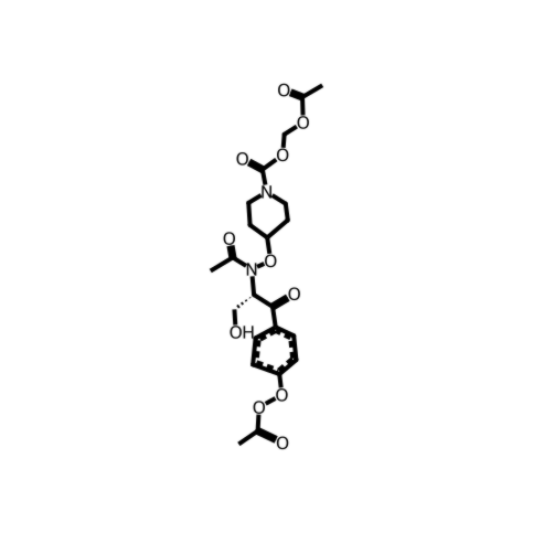 CC(=O)OCOC(=O)N1CCC(ON(C(C)=O)[C@@H](CO)C(=O)c2ccc(OOC(C)=O)cc2)CC1